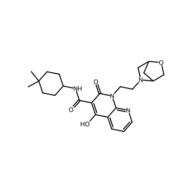 CC1(C)CCC(NC(=O)c2c(O)c3cccnc3n(CCN3CC4CC3CO4)c2=O)CC1